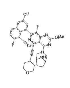 C#Cc1c(F)ccc2cc(O)cc(-c3nc(C#CC4CCOCC4)c4c(N5CC6CCC(C5)N6)nc(OC)nc4c3F)c12